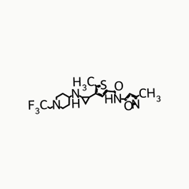 Cc1cc(NC(=O)c2cc(C3CC3NC3CCN(CC(F)(F)F)CC3)c(C)s2)on1